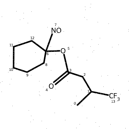 CC(CC(=O)OC1(N=O)CCCCC1)C(F)(F)F